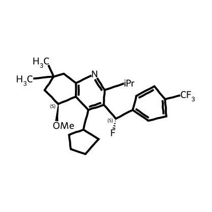 CO[C@H]1CC(C)(C)Cc2nc(C(C)C)c([C@@H](F)c3ccc(C(F)(F)F)cc3)c(C3CCCC3)c21